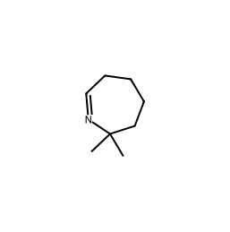 CC1(C)CCCCC=N1